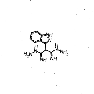 N=C(NN)C(C(=N)NN)c1n[nH]c2ccccc12